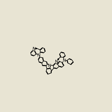 N#Cc1ccccc1N(c1ccccc1)c1ccc2cc3c4cccc5c6cc7ccc(N(c8ccccc8)c8ccccc8C#N)cc7cc6n(c3cc2c1)c45